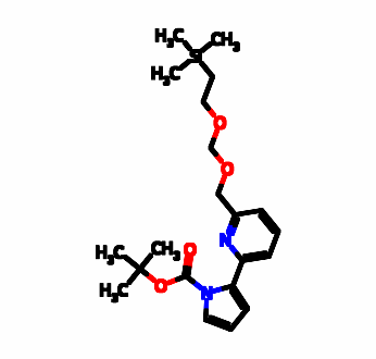 CC(C)(C)OC(=O)n1cccc1-c1cccc(COCOCC[Si](C)(C)C)n1